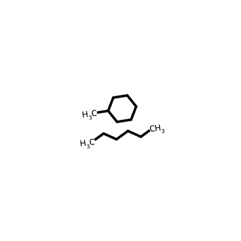 CC1CCCCC1.CCCCCC